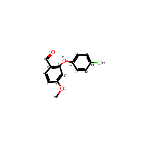 COc1ccc(C=O)c(Oc2ccc(Cl)cc2)c1